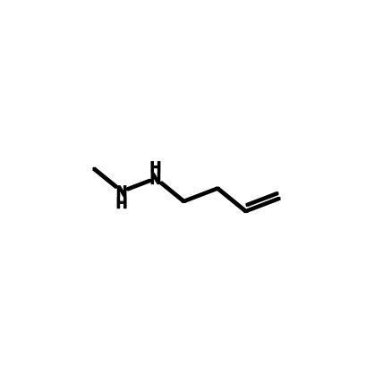 C=CCCNNC